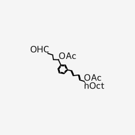 CCCCCCCC[C@@H](/C=C/C=C/c1cccc([C@H](CCCC=O)OC(C)=O)c1)OC(C)=O